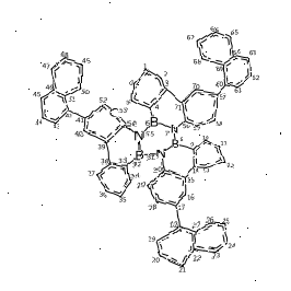 c1ccc2c(c1)B1N(B3c4ccccc4-c4cc(-c5cccc6ccccc56)ccc4N3B3c4ccccc4-c4cc(-c5cccc6ccccc56)ccc4N13)c1ccc(-c3cccc4ccccc34)cc1-2